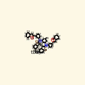 Cc1cc2c3c(c1)N(c1cccc(-c4cc5ccccc5o4)c1)c1sc4ccc(C(C)(C)C)cc4c1B3c1c(sc3ccc(C(C)(C)C)cc13)N2c1cccc(-c2cc3ccccc3o2)c1